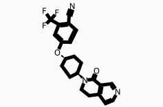 N#Cc1ccc(O[C@H]2CC[C@H](N3CCc4ccncc4C3=O)CC2)cc1C(F)(F)F